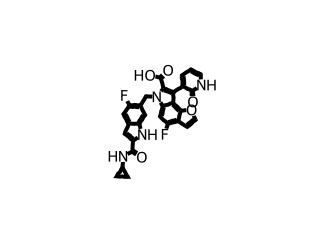 O=C(NC1CC1)c1cc2cc(F)c(Cn3c(C(=O)O)c(-c4ccc[nH]c4=O)c4c5occc5c(F)cc43)cc2[nH]1